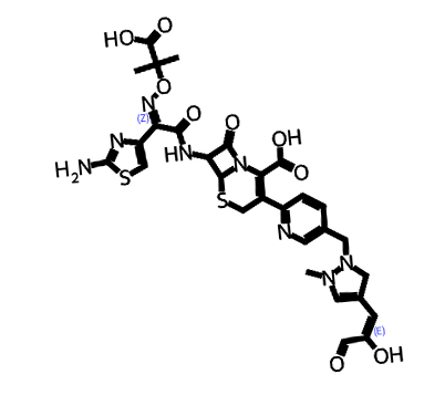 CN1C=C(/C=C(/O)C=O)CN1Cc1ccc(C2=C(C(=O)O)N3C(=O)C(NC(=O)/C(=N\OC(C)(C)C(=O)O)c4csc(N)n4)C3SC2)nc1